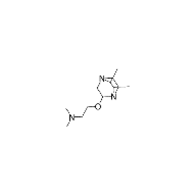 CC1C(C)N2CCN1CC2OCCN(C)C